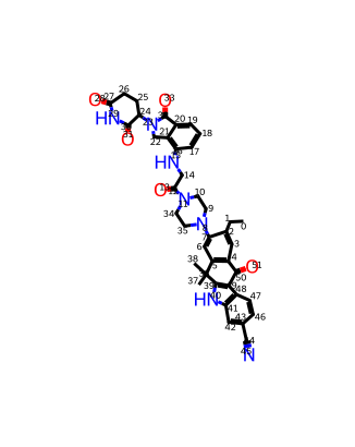 CCc1cc2c(cc1N1CCN(C(=O)CNc3cccc4c3CN(C3CCC(=O)NC3=O)C4=O)CC1)C(C)(C)c1[nH]c3cc(C#N)ccc3c1C2=O